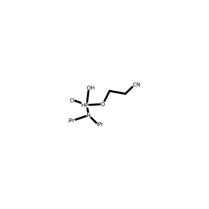 CC(C)N(C(C)C)[PH](O)(Cl)OCCC#N